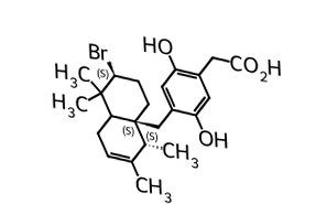 CC1=CCC2C(C)(C)[C@@H](Br)CC[C@]2(Cc2cc(O)c(CC(=O)O)cc2O)[C@@H]1C